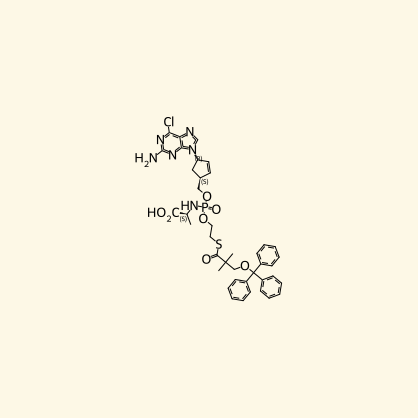 C[C@H](NP(=O)(OCCSC(=O)C(C)(C)COC(c1ccccc1)(c1ccccc1)c1ccccc1)OC[C@@H]1C=C[C@H](n2cnc3c(Cl)nc(N)nc32)C1)C(=O)O